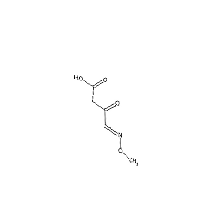 CON=CC(=O)CC(=O)O